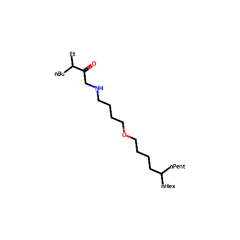 CCCCCCC(CCCCC)CCCCOCCCCNCC(=O)C(CC)CCCC